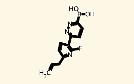 C=CCc1ccc(-c2ccc(B(O)O)nn2)c(F)n1